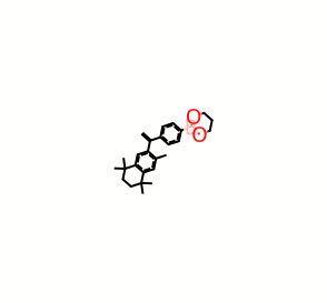 C=C(c1ccc(B2OCCCO2)cc1)c1cc2c(cc1C)C(C)(C)CCC2(C)C